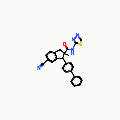 CC1(C(=O)Nc2nncs2)Cc2ccc(C#N)cc2C1c1ccc(-c2ccccc2)cc1